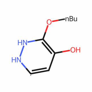 CCCCOC1=C(O)C=[C]NN1